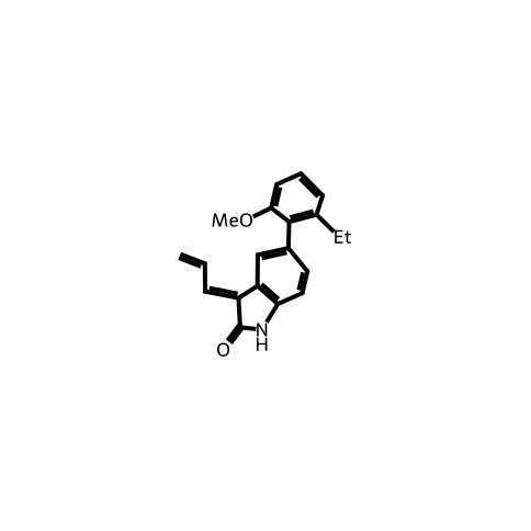 C=C/C=C1/C(=O)Nc2ccc(-c3c(CC)cccc3OC)cc21